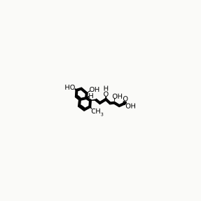 C[C@@H]1C=CC2=C[C@@H](O)C[C@H](O)[C@@H]2[C@H]1CC[C@@H](O)C[C@H](O)CC(=O)O